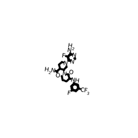 NC(=O)C1CCN(c2ncnc(N)c2F)CC1N1CCCC(Nc2cc(F)cc(C(F)(F)F)c2)C1=O